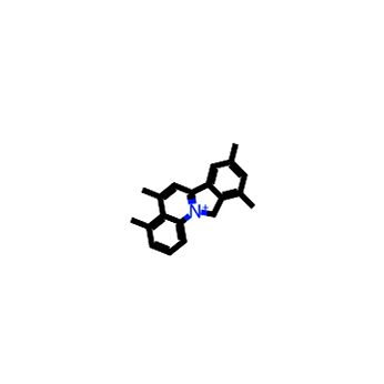 Cc1cc(C)c2c(c1)-c1cc(C)c3c(C)cccc3[n+]1C2